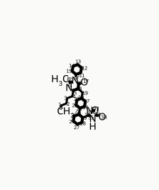 CCCCCc1nc(C)n(-c2ccccc2)c(=O)c1Cc1ccc(-c2ccccc2-c2noc(=O)[nH]2)cc1